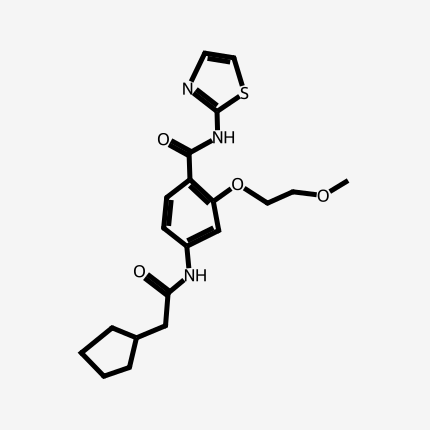 COCCOc1cc(NC(=O)CC2CCCC2)ccc1C(=O)Nc1nccs1